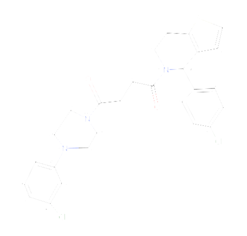 O=C(CCC(=O)N1CCc2sccc2C1c1ccc(Cl)cc1)N1CCN(c2cccc(Cl)c2)CC1